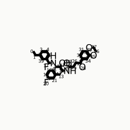 CCc1cccc(CNC[C@H](O)[C@H](Cc2cc(F)cc(F)c2)NC(=O)CCC(=O)c2ccc3c(c2)OCCO3)c1